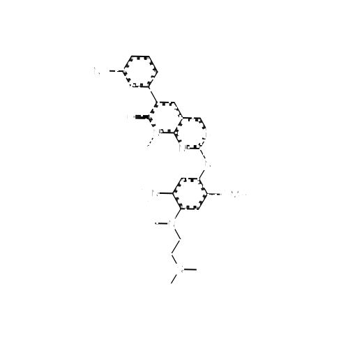 COc1cc(N(C)CCN(C)C)c([N+](=O)[O-])cc1Nc1ncc2cc(-c3cccc(C#N)c3)c(=O)n(C)c2n1